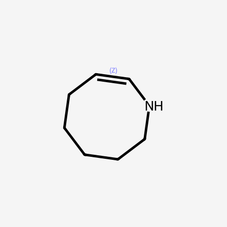 C1=C\NCCCCC/1